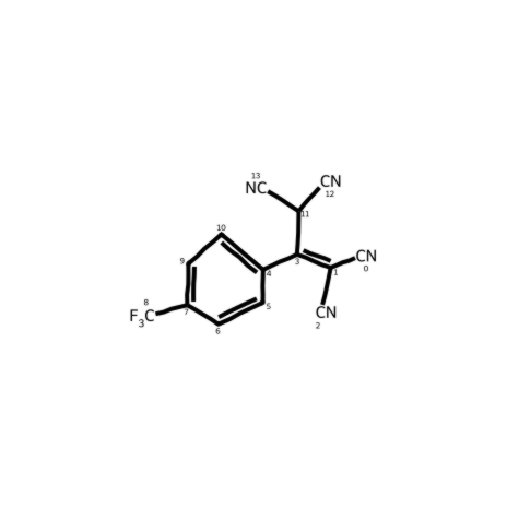 N#CC(C#N)=C(c1ccc(C(F)(F)F)cc1)C(C#N)C#N